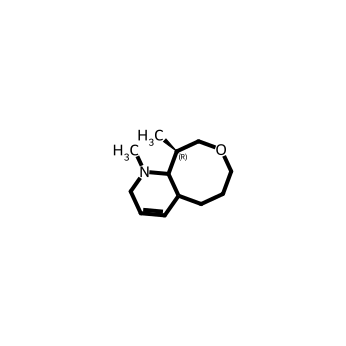 C[C@H]1COCCCC2C=CCN(C)C21